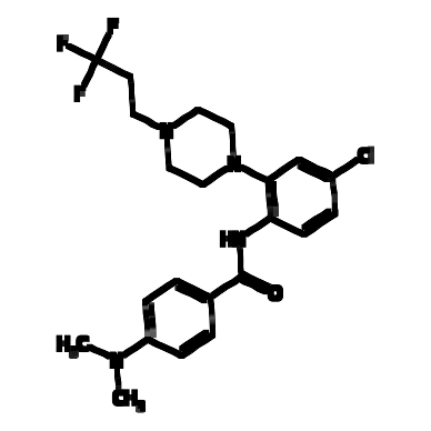 CN(C)c1ccc(C(=O)Nc2ccc(Cl)cc2N2CCN(CCC(F)(F)F)CC2)cc1